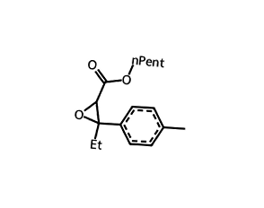 CCCCCOC(=O)C1OC1(CC)c1ccc(C)cc1